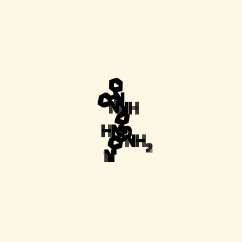 CN(C)Cc1ccc(NC(=O)c2ccc(Nc3nc(-c4ccccc4)c4ccccc4n3)cc2)c(CN)c1